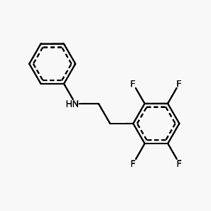 Fc1cc(F)c(F)c(CCNc2ccccc2)c1F